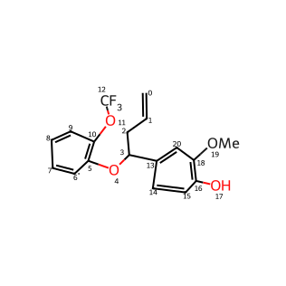 C=CCC(Oc1[c]cccc1OC(F)(F)F)c1ccc(O)c(OC)c1